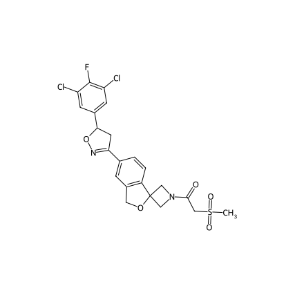 CS(=O)(=O)CC(=O)N1CC2(C1)OCc1cc(C3=NOC(c4cc(Cl)c(F)c(Cl)c4)C3)ccc12